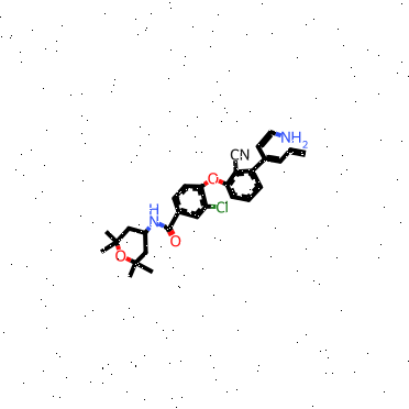 C=C/C=C(\C=C/N)c1cccc(Oc2ccc(C(=O)NC3CC(C)(C)OC(C)(C)C3)cc2Cl)c1C#N